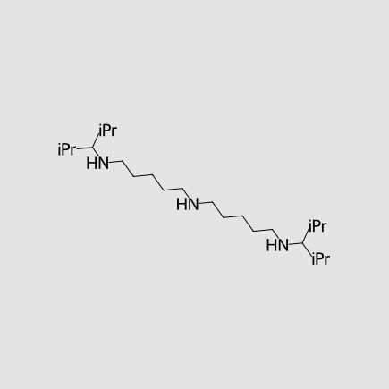 CC(C)C(NCCCCCNCCCCCNC(C(C)C)C(C)C)C(C)C